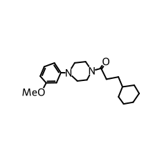 COc1cccc(N2CCN(C(=O)CCC3CCCCC3)CC2)c1